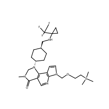 CN1CN([C@H]2CC[C@H](CNC3(C(F)(F)F)CC3)CC2)c2c(cnc3c2ccn3COCC[Si](C)(C)C)C1=O